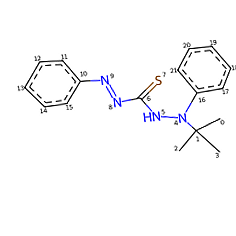 CC(C)(C)N(NC(=S)/N=N/c1ccccc1)c1ccccc1